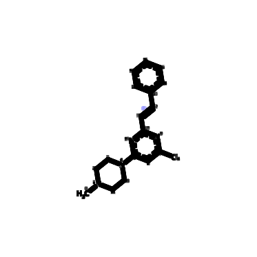 CN1CCN(c2cc(Cl)nc(/C=C/c3ccccc3)n2)CC1